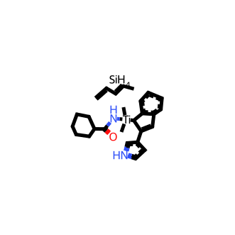 C=CC=CC.[CH3][Ti]([CH3])([NH]C(=O)C1CCCCC1)[CH]1C(c2cc[nH]c2)=Cc2ccccc21.[SiH4]